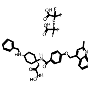 Cc1cc(COc2ccc(C(=O)N[C@]3(CC(=O)NO)CC[C@@H](NCc4ccccc4)CC3)cc2)c2ccccc2n1.O=C(O)C(F)(F)F.O=C(O)C(F)(F)F